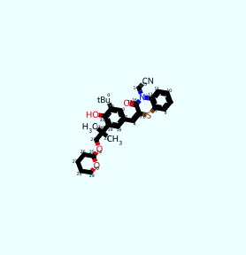 CC(C)(C)c1cc(C=C2Sc3ccccc3N(CC#N)C2=O)cc(C(C)(C)COC2CCCCO2)c1O